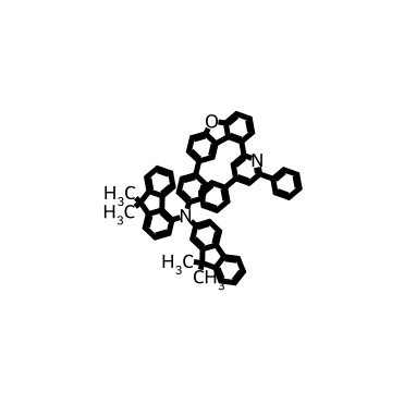 CC1(C)c2ccccc2-c2ccc(N(c3ccc(-c4ccc5oc6cccc(-c7cc(-c8ccccc8)cc(-c8ccccc8)n7)c6c5c4)cc3)c3cccc4c3-c3ccccc3C4(C)C)cc21